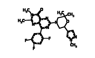 Cc1nc2c(-c3cc(F)c(F)cc3F)nc(N3CC(c4cnn(C)c4)OC(C)(C)C3)nc2c(=O)n1C